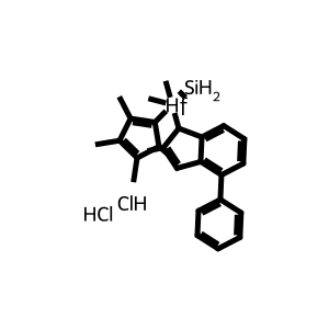 CC1=Cc2c(-c3ccccc3)cccc2[CH]1[Hf]([CH3])([CH3])(=[SiH2])[C]1=C(C)C(C)=C(C)C1C.Cl.Cl